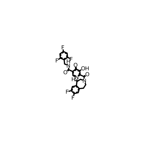 O=C(NCc1c(F)cc(F)cc1F)c1cn2c(c(O)c1=O)C(=O)N1CCc3cc(F)c(F)cc3[C@H]2C1